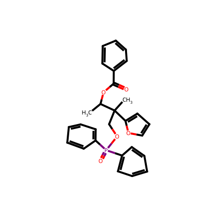 CC(OC(=O)c1ccccc1)C(C)(COP(=O)(c1ccccc1)c1ccccc1)c1ccco1